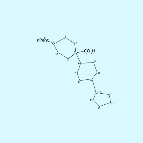 CCCCCC1CCC(C(=O)O)(C2CCC(N3CCCC3)CC2)CC1